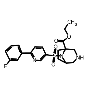 CCOC(=O)C12CCC(CNC1)N2S(=O)(=O)c1ccc(-c2cccc(F)c2)nc1